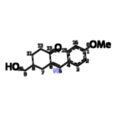 COc1ccc(/C=C2/CC(CO)CCC2=O)cc1